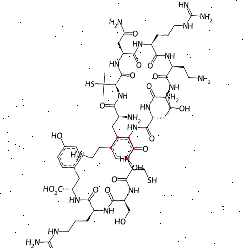 C[C@@H](O)[C@H](NC(=O)[C@H](CCN)NC(=O)[C@H](CCCNC(=N)N)NC(=O)[C@H](CC(N)=O)NC(=O)[C@@H](NC(=O)[C@@H](N)Cc1ccc(O)cc1)C(C)(C)S)C(=O)N[C@H](CCN)C(=O)N[C@@H](CCCCN)C(=O)N[C@@H](CS)C(=O)N[C@@H](CO)C(=O)N[C@@H](CCCNC(=N)N)C(=O)N[C@@H](Cc1ccc(O)cc1)C(=O)O